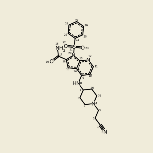 N#CCCN1CCC(Nc2[c]cnc3c2cc(C(N)=O)n3S(=O)(=O)c2ccccc2)CC1